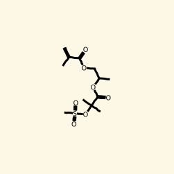 C=C(C)C(=O)OCC(C)OC(=O)C(C)(C)OS(C)(=O)=O